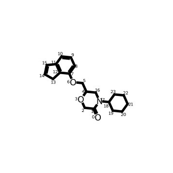 O=C1COC(COc2cccc3c2CC=C3)CN1C1CCCCC1